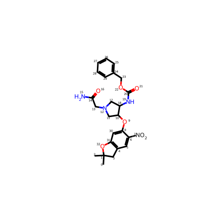 CC1(C)Cc2cc([N+](=O)[O-])c(OC3CN(CC(N)=O)CC3NC(=O)OCc3ccccc3)cc2O1